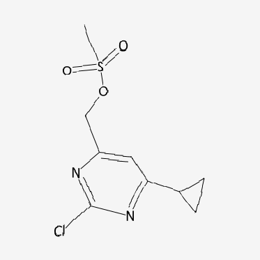 CS(=O)(=O)OCc1cc(C2CC2)nc(Cl)n1